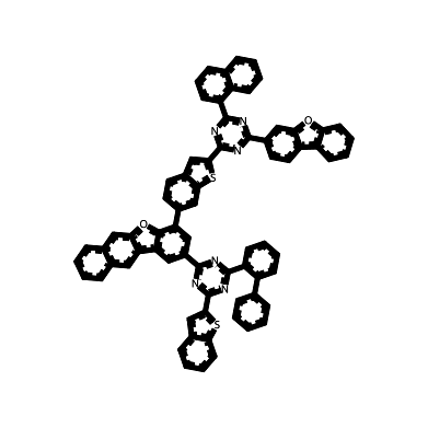 c1ccc(-c2ccccc2-c2nc(-c3cc(-c4ccc5cc(-c6nc(-c7ccc8c(c7)oc7ccccc78)nc(-c7cccc8ccccc78)n6)sc5c4)c4oc5cc6ccccc6cc5c4c3)nc(-c3cc4ccccc4s3)n2)cc1